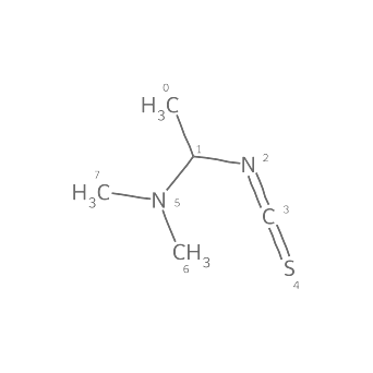 CC(N=C=S)N(C)C